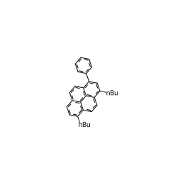 CCCCc1ccc2ccc3c(-c4ccccc4)cc(CCCC)c4ccc1c2c43